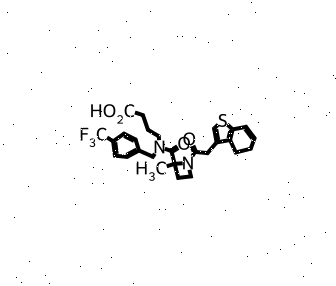 CC1(C(=O)N(CCCC(=O)O)Cc2ccc(C(F)(F)F)cc2)CCN1C(=O)Cc1csc2c1CCC=C2